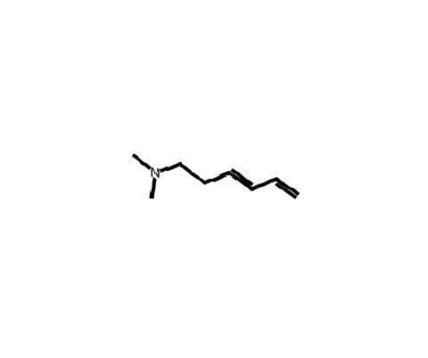 C=C/C=C/CCN(C)C